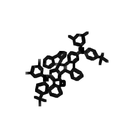 CC1=CC(N(c2ccc(C(C)(C)C)cc2)c2ccc3c4c(c5ccccc5c3c2)-c2c(cc(N(c3ccc(C(C)(C)C)cc3)c3cc(C)cc(C)c3)c3c2oc2ccccc23)C42c3ccccc3-c3ccccc32)=CC(C)C1